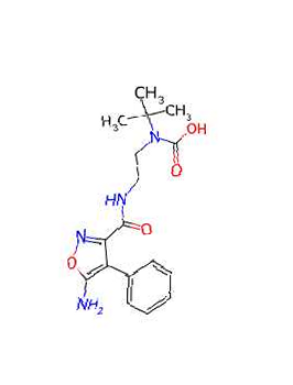 CC(C)(C)N(CCNC(=O)c1noc(N)c1-c1ccccc1)C(=O)O